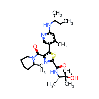 CC[C@@H](C)Nc1cc(C)c(-c2sc(C(=O)N[C@@H](C)C(C)(C)O)nc2C(=O)N2CCCC[C@@H]2C)cn1